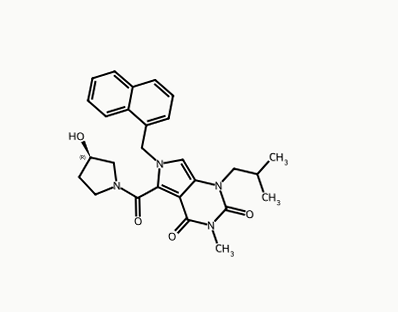 CC(C)Cn1c(=O)n(C)c(=O)c2c(C(=O)N3CC[C@@H](O)C3)n(Cc3cccc4ccccc34)cc21